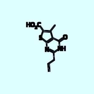 C=CCc1nc2sc(C(=O)O)c(C)c2c(=O)[nH]1